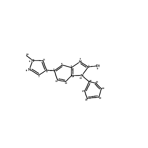 CCc1nc2cc(-c3cnn(C)c3)ccc2n1-c1c[c]ccc1